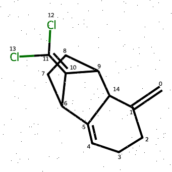 C=C1CCC=C2C3CCC(C3=C(Cl)Cl)C12